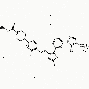 CCOC(=O)c1cnn(-c2cccc(-c3sc(C)cc3C=Cc3ccc(C4CCN(C(=O)OC(C)(C)C)CC4)cc3C)n2)c1CC